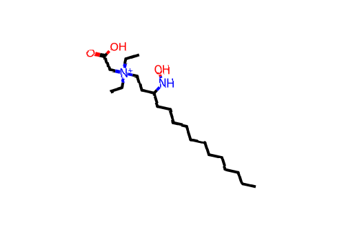 CCCCCCCCCCCCC(CC[N+](CC)(CC)CC(=O)O)NO